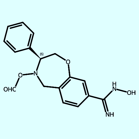 N=C(NO)c1ccc2c(c1)OC[C@H](c1ccccc1)N(OC=O)C2